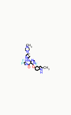 Cc1cc2c(F)c(Oc3ncnc(Nc4ccc(N5CCN(C)CC5)cn4)c3C(=O)N3CC(F)(F)C3)ccc2[nH]1